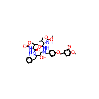 COC(=O)N[C@H](C(=O)NC(Cc1ccccc1)C(O)CN(Cc1ccc(OCc2ccc(OC)c(OC)c2)cc1)NC(=O)[C@@H](NC(=O)OC)C(C)C)C(C)C